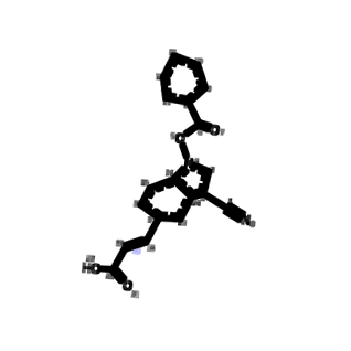 N#Cc1cn(OC(=O)c2ccccc2)c2ccc(/C=C/C(=O)O)cc12